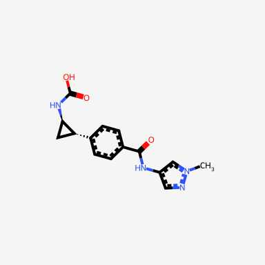 Cn1cc(NC(=O)c2ccc([C@@H]3C[C@H]3NC(=O)O)cc2)cn1